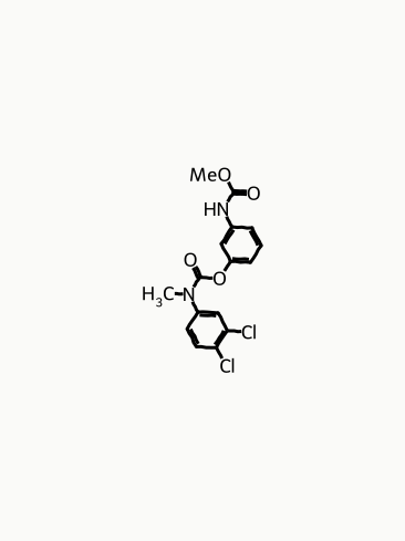 COC(=O)Nc1cccc(OC(=O)N(C)c2ccc(Cl)c(Cl)c2)c1